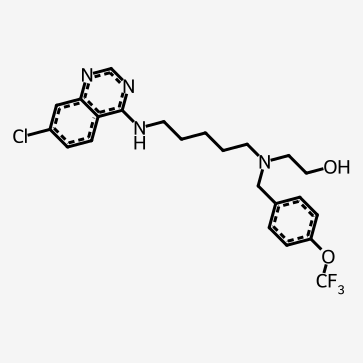 OCCN(CCCCCNc1ncnc2cc(Cl)ccc12)Cc1ccc(OC(F)(F)F)cc1